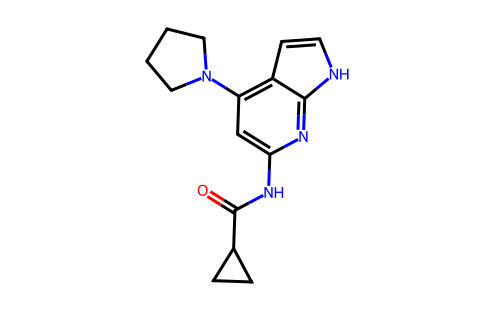 O=C(Nc1cc(N2CCCC2)c2cc[nH]c2n1)C1CC1